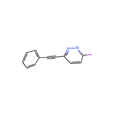 Ic1ccc(C#Cc2ccccc2)nn1